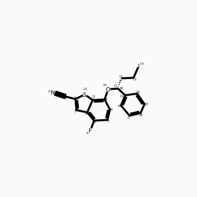 N#Cc1cc2c(F)ccc(O[C@H](CCI)c3ccccc3)c2s1